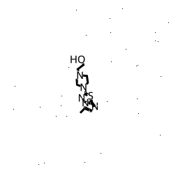 Cc1cnc2sc(N3CCN(CCO)CC3)nn12